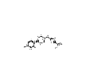 Cc1ccc(N2CCN(CC3CN(C(C)C)C3)CC2)cc1